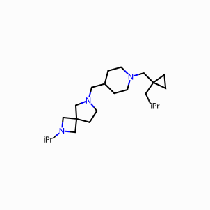 CC(C)CC1(CN2CCC(CN3CCC4(C3)CN(C(C)C)C4)CC2)CC1